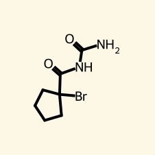 NC(=O)NC(=O)C1(Br)CCCC1